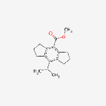 COC(=O)c1c2c(c(C(C)C)c3c1CCC3)CCC2